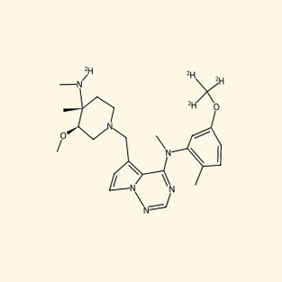 [2H]N(C)[C@]1(C)CCN(Cc2ccn3ncnc(N(C)c4cc(OC([2H])([2H])[2H])ccc4C)c23)C[C@H]1OC